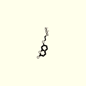 [N-]=[N+]=NCCOc1ccc2ccc(=O)oc2c1